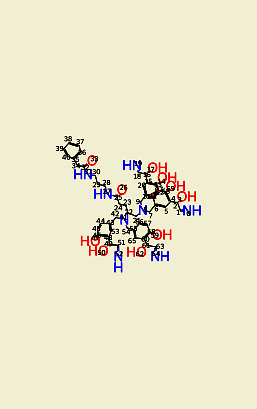 N=CC(O)c1cc(CN(Cc2ccc(O)c(C(O)C=N)c2)CC(CCC(=O)NCCCNC(=O)Cc2ccccc2)N(Cc2ccc(O)c(C(O)C=N)c2)Cc2ccc(O)c(C(O)C=N)c2)ccc1O